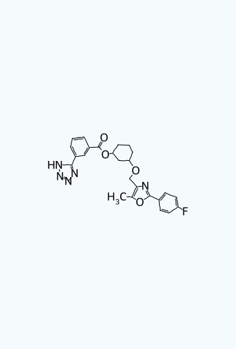 Cc1oc(-c2ccc(F)cc2)nc1COC1CCCC(OC(=O)c2cccc(-c3nnn[nH]3)c2)C1